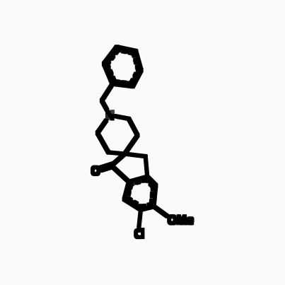 COc1cc2c(cc1Cl)C(=O)C1(CCN(Cc3ccccc3)CC1)C2